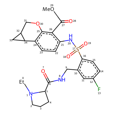 CCN1CCCC1C(=O)NCc1cc(F)ccc1S(=O)(=O)Nc1ccc2c(c1C(=O)OC)OCC1CC21